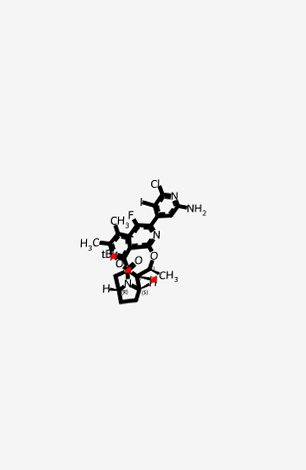 Cc1nc2c3c(nc(-c4cc(N)nc(Cl)c4I)c(F)c3c1C)O[C@@H](C)[C@@H]1[C@@H]3CC[C@H](CN21)N3C(=O)OC(C)(C)C